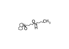 CCCCCNC(=O)CCCCC(=O)N1CCCC2CCCCC21